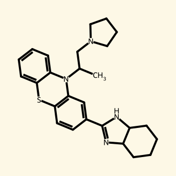 CC(CN1CCCC1)N1c2ccccc2Sc2ccc(C3=NC4CCCCC4N3)cc21